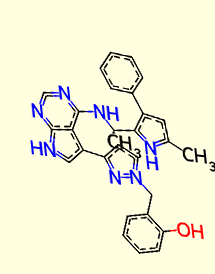 Cc1cc(-c2ccccc2)c([C@H](C)Nc2ncnc3[nH]cc(-c4ccn(Cc5ccccc5O)n4)c23)[nH]1